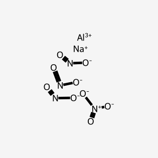 O=N[O-].O=N[O-].O=N[O-].O=[N+]([O-])[O-].[Al+3].[Na+]